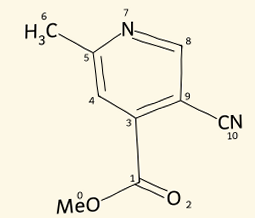 COC(=O)c1cc(C)ncc1C#N